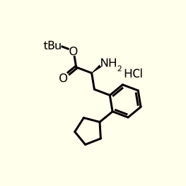 CC(C)(C)OC(=O)[C@@H](N)Cc1ccccc1C1CCCC1.Cl